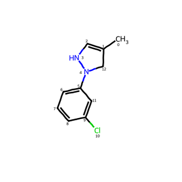 CC1=CNN(c2cccc(Cl)c2)C1